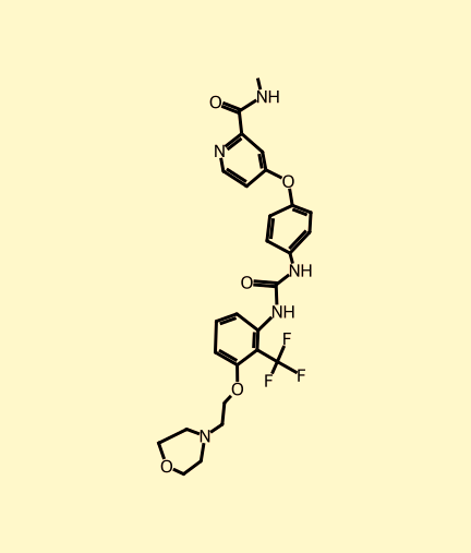 CNC(=O)c1cc(Oc2ccc(NC(=O)Nc3cccc(OCCN4CCOCC4)c3C(F)(F)F)cc2)ccn1